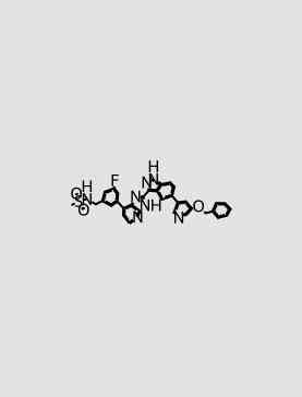 CS(=O)(=O)NCc1cc(F)cc(-c2ccnc3[nH]c(-c4n[nH]c5ccc(-c6cncc(OCc7ccccc7)c6)cc45)nc23)c1